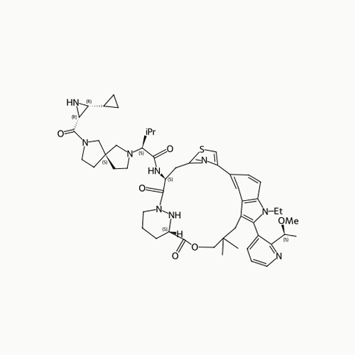 CCn1c(-c2cccnc2[C@H](C)OC)c2c3cc(ccc31)-c1csc(n1)C[C@H](NC(=O)[C@H](C(C)C)N1CC[C@]3(CCN(C(=O)[C@@H]4N[C@@H]4C4CC4)C3)C1)C(=O)N1CCC[C@H](N1)C(=O)OCC(C)(C)C2